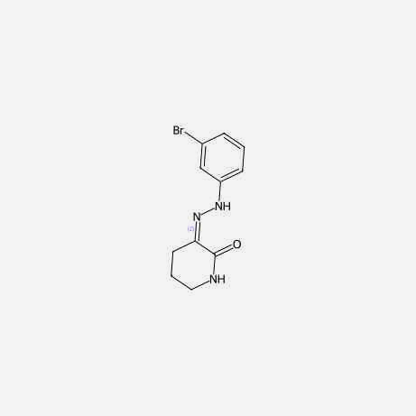 O=C1NCCC/C1=N/Nc1cccc(Br)c1